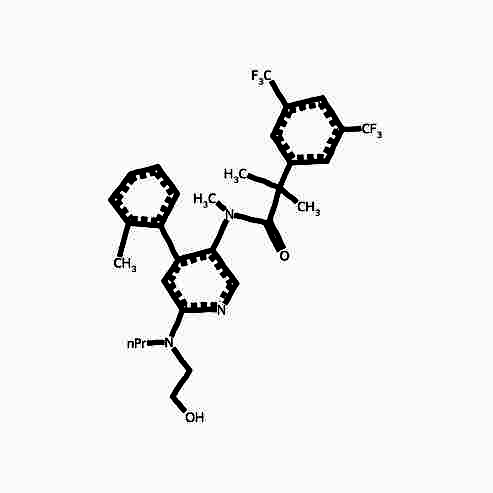 CCCN(CCO)c1cc(-c2ccccc2C)c(N(C)C(=O)C(C)(C)c2cc(C(F)(F)F)cc(C(F)(F)F)c2)cn1